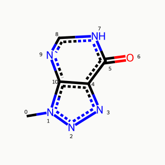 Cn1nnc2c(=O)[nH]cnc21